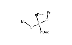 CCCCCCCCC[CH2][Ti]([CH2]CCCCCCCCC)([O]CC)[O]CC